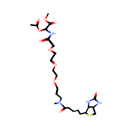 COC(=O)C(NC(=O)COCCOCCOCCCN(C)C(=O)CCCCC1SCC2NC(=O)NC21)OC(C)=O